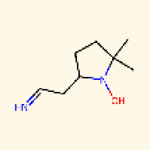 CC1(C)CCC(CC=N)N1O